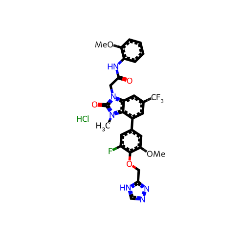 COc1ccccc1NC(=O)Cn1c(=O)n(C)c2c(-c3cc(F)c(OCc4nnc[nH]4)c(OC)c3)cc(C(F)(F)F)cc21.Cl